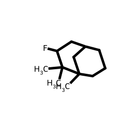 CC12CCCC(CC(F)C1(C)C)C2